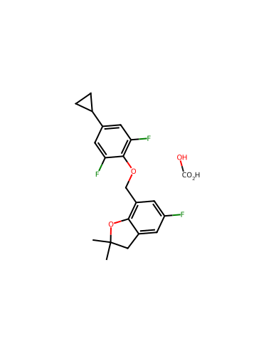 CC1(C)Cc2cc(F)cc(COc3c(F)cc(C4CC4)cc3F)c2O1.O=C(O)O